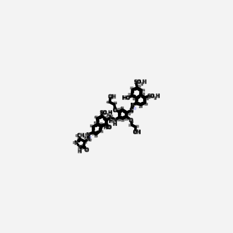 CC1=NNC(=O)C1/N=N/c1ccc2c(O)c(NNc3cc(OCCO)c(/N=N/c4ccc(S(=O)(=O)O)c5cc(S(=O)(=O)O)cc(O)c45)cc3OCCO)c(S(=O)(=O)O)cc2c1